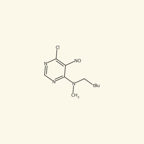 CN(CC(C)(C)C)c1ncnc(Cl)c1N=O